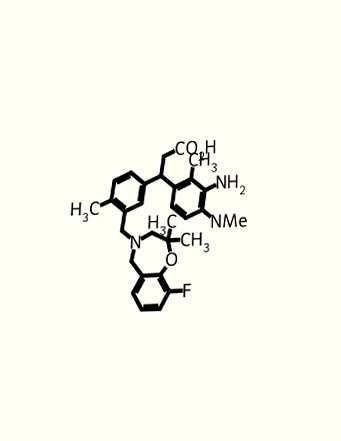 CNc1ccc(C(CC(=O)O)c2ccc(C)c(CN3Cc4cccc(F)c4OC(C)(C)C3)c2)c(C)c1N